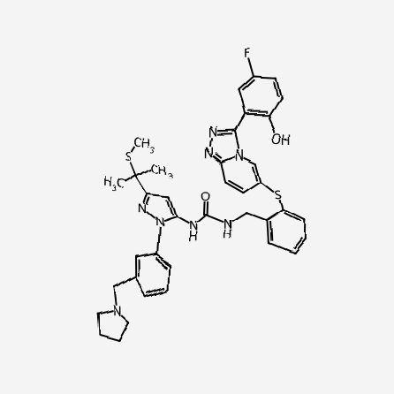 CSC(C)(C)c1cc(NC(=O)NCc2ccccc2Sc2ccc3nnc(-c4cc(F)ccc4O)n3c2)n(-c2cccc(CN3CCCC3)c2)n1